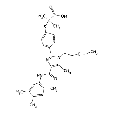 CCCCCn1c(-c2ccc(SC(C)(C)C(=O)O)cc2)nc(C(=O)Nc2cc(C)c(C)cc2C)c1C